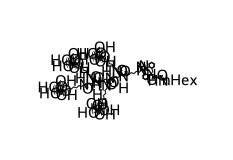 CCCCCCNC(=O)CCC(=O)N1Cc2ccccc2-c2nnn(CCCCCC(=O)NC(CCC(=O)NC(CCC(=O)NC(CCC(=O)NCCCCCCO[C@H]3O[C@H](CO)[C@@H](O)[C@H](O)[C@@H]3O)C(=O)NCCCCCCO[C@H]3O[C@H](CO)[C@@H](O)[C@H](O)[C@@H]3O)C(=O)NCCCCCCO[C@H]3O[C@H](CO)[C@@H](O)[C@H](O)[C@@H]3O)C(=O)NCCCCCCO[C@H]3O[C@H](CO)[C@@H](O)[C@H](O)[C@@H]3O)c2-c2ccccc21